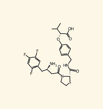 CC(C)[C@@H](Oc1ccc(CNC(=O)[C@@H]2SCCN2C(=O)C[C@H](N)Cc2cc(F)c(F)cc2F)cc1)C(=O)O